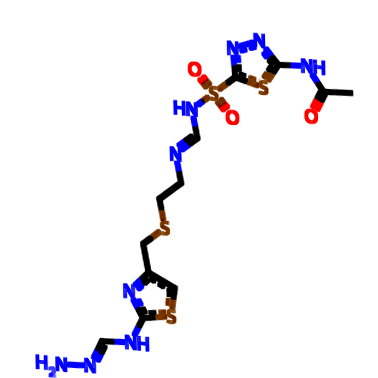 CC(=O)Nc1nnc(S(=O)(=O)NC=NCCSCc2csc(NC=NN)n2)s1